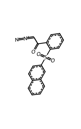 [N-]=[N+]=CC(=O)c1ccccc1S(=O)(=O)c1ccc2ccccc2c1